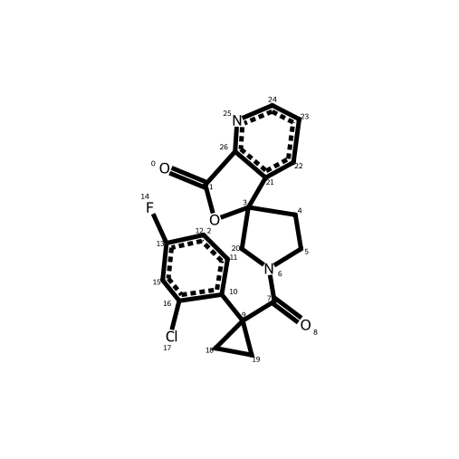 O=C1OC2(CCN(C(=O)C3(c4ccc(F)cc4Cl)CC3)C2)c2cccnc21